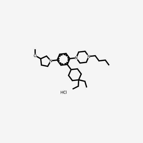 CCCCN1CCN(c2ccc(N3CCC(OC)C3)cc2C2CCC(CC)(CC)CC2)CC1.Cl